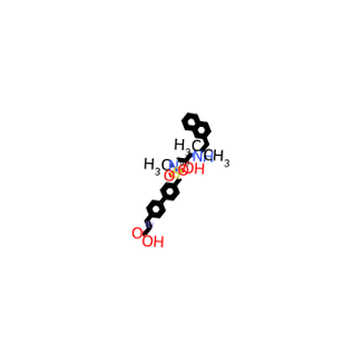 CN(C[C@H](O)CNC(C)(C)Cc1ccc2ccccc2c1)S(=O)(=O)Cc1ccc(-c2ccc(/C=C/C(=O)O)cc2)cc1